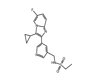 CCS(=O)(=O)NCc1cncc(-c2nc3ccc(F)cn3c2C2CC2)c1